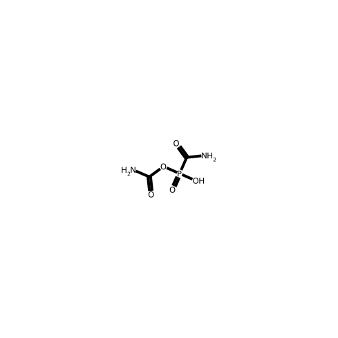 NC(=O)OP(=O)(O)C(N)=O